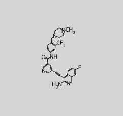 CN1CCN(Cc2ccc(NC(=O)c3cncc(C#Cc4c(N)ncc5cc(F)ccc45)c3)cc2C(F)(F)F)CC1